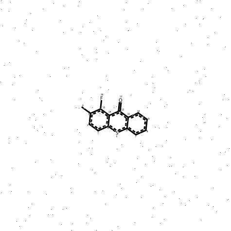 Cc1ccc2sc3ccccc3c(=O)c2c1F